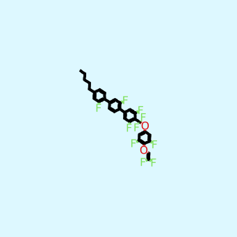 CCCCCc1ccc(-c2ccc(-c3cc(F)c(C(F)(F)Oc4cc(F)c(OC=C(F)F)c(F)c4)c(F)c3)c(F)c2)c(F)c1